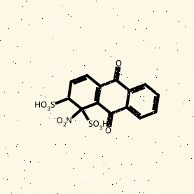 O=C1C2=C(C(=O)c3ccccc31)C([N+](=O)[O-])(S(=O)(=O)O)C(S(=O)(=O)O)C=C2